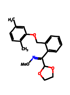 CON=C(c1ccccc1COc1cc(C)ccc1C)C1OCCO1